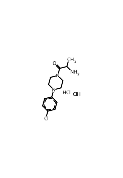 CC(N)C(=O)N1CCN(c2ccc(Cl)cc2)CC1.Cl.Cl